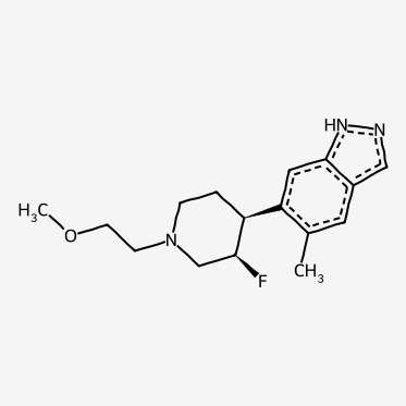 COCCN1CC[C@@H](c2cc3[nH]ncc3cc2C)[C@@H](F)C1